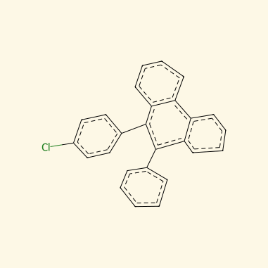 Clc1ccc(-c2c(-c3ccccc3)c3ccccc3c3ccccc23)cc1